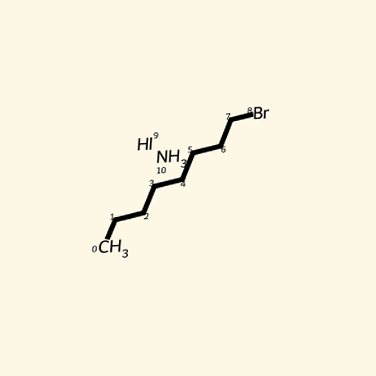 CCCCCCCCBr.I.N